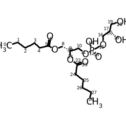 CCCCCC(=O)OC[C@H](COP(=O)(O)OC[C@@H](O)CO)OC(=O)CCCCC